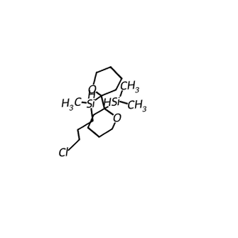 C[SiH](C)C1(C2([SiH](C)CCCCl)CCCCO2)CCCCO1